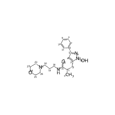 CC(Cc1cc(-c2ccccc2)nn1O)C(=O)NCCCN1CCOCC1